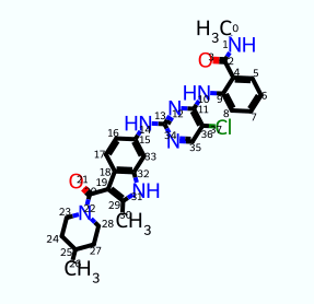 CNC(=O)c1ccccc1Nc1nc(Nc2ccc3c(C(=O)N4CCC(C)CC4)c(C)[nH]c3c2)ncc1Cl